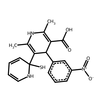 CC1=C(C(=O)O)C(c2cccc([N+](=O)[O-])c2)C(C2(S)C=CC=CN2)=C(C)N1